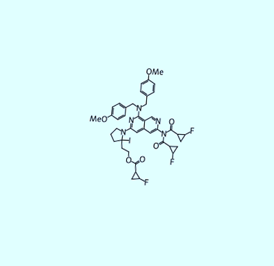 COc1ccc(CN(Cc2ccc(OC)cc2)c2nc(N3CCCC3(I)CCOC(=O)C3CC3F)cc3cc(N(C(=O)C4CC4F)C(=O)C4CC4F)ncc23)cc1